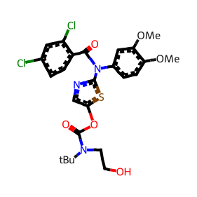 COc1ccc(N(C(=O)c2ccc(Cl)cc2Cl)c2ncc(OC(=O)N(CCO)C(C)(C)C)s2)cc1OC